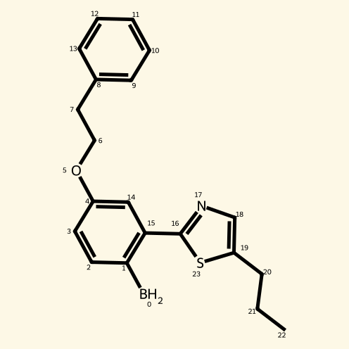 Bc1ccc(OCCc2ccccc2)cc1-c1ncc(CCC)s1